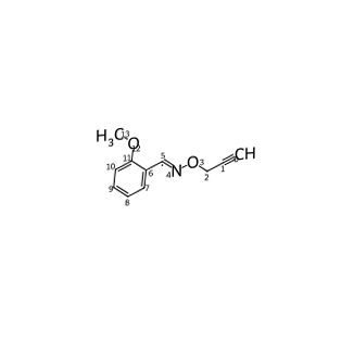 C#CCON=[C]c1ccccc1OC